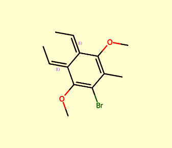 C/C=c1/c(OC)c(C)c(Br)c(OC)/c1=C/C